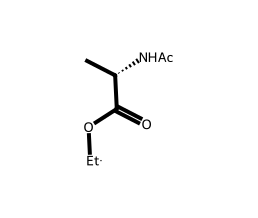 C[CH]OC(=O)[C@H](C)NC(C)=O